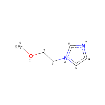 [CH2]CCOCCn1ccnc1